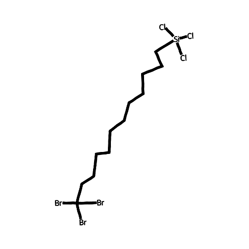 Cl[Si](Cl)(Cl)CCCCCCCCCCCC(Br)(Br)Br